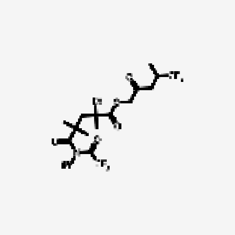 CCC(C)(CC(C)(C)C(=O)N(C(=O)C(F)(F)F)C(C)C)C(=O)OCC(=O)CC(C)C(F)(F)F